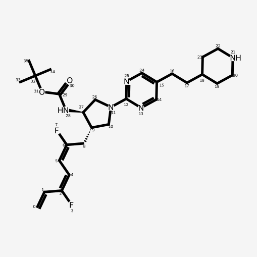 C=C/C(F)=C\C=C(\F)C[C@H]1CN(c2ncc(CCC3CCNCC3)cn2)C[C@@H]1NC(=O)OC(C)(C)C